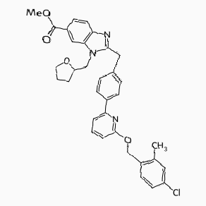 COC(=O)c1ccc2nc(Cc3ccc(-c4cccc(OCc5ccc(Cl)cc5C)n4)cc3)n(CC3CCCO3)c2c1